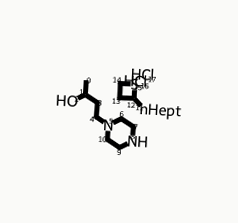 CC(O)CCN1CCNCC1.CCCCCCCC1CCS1.Cl.Cl